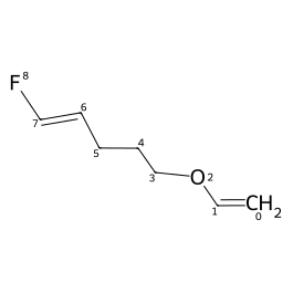 C=COCCCC=CF